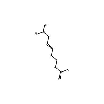 C=C(C)CCCC=CCC(C)C